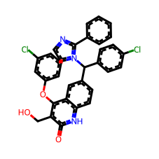 O=c1[nH]c2ccc(C(c3ccc(Cl)cc3)n3ccnc3-c3ccccc3)cc2c(Oc2cccc(Cl)c2)c1CO